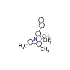 Cc1ccc2c(c1)c1cc(C)cc3c1n2-c1ccc(-c2ccc4ccccc4c2)cc1C3(C)C